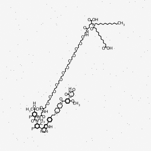 CCCCCCCCCCCN(C(=O)CCCCCCCCCC(=O)O)C(CCC(=O)NCCOCCOCCOCCOCCOCCOCCOCCOCCOCCOCCOCCOCCC(=O)NCC(=O)NCN(C(=O)c1ccc(C(C)(C)O)cc1F)c1cc(F)cc(-c2ncnc3[nH]c(-c4ccc(CCN5CCC6(CC5)CCN(C(=O)c5ccc(OC)c(N7CCC(=O)NC7=O)c5)CC6)cc4)cc23)c1C)C(=O)O